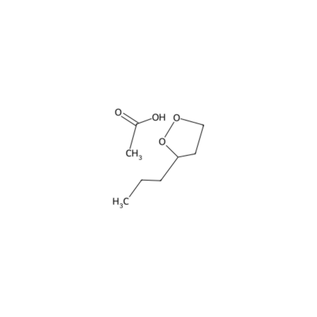 CC(=O)O.CCCC1CCOO1